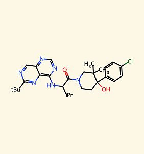 CC(C)C(Nc1ncnc2cnc(C(C)(C)C)nc12)C(=O)N1CCC(O)(c2ccc(Cl)cc2)C(C)(C)C1